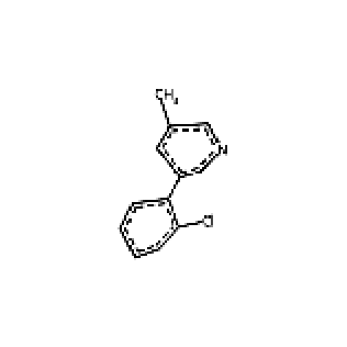 Cc1cncc(-c2ccccc2Cl)c1